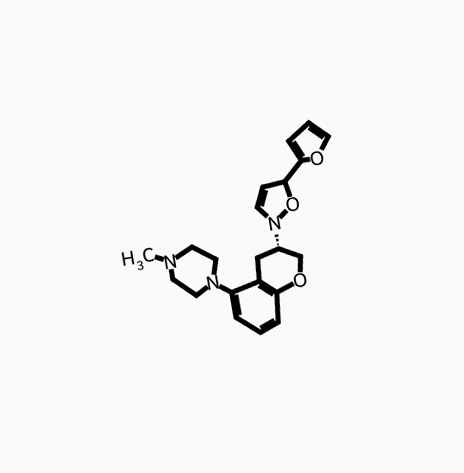 CN1CCN(c2cccc3c2C[C@H](N2C=CC(c4ccco4)O2)CO3)CC1